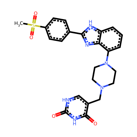 CS(=O)(=O)c1ccc(-c2nc3c(N4CCN(Cc5c[nH]c(=O)[nH]c5=O)CC4)cccc3[nH]2)cc1